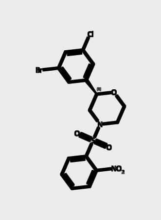 O=[N+]([O-])c1ccccc1S(=O)(=O)N1CCO[C@H](c2cc(Cl)cc(Br)c2)C1